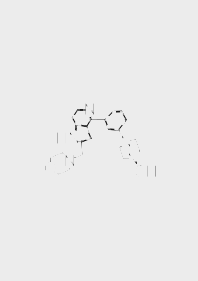 CN1CCN(c2cccc(-c3nccc4[nH]c(CN5CCOCC5)cc34)c2)CC1